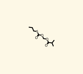 CCCSC(=O)OCOC(=O)C(C)C